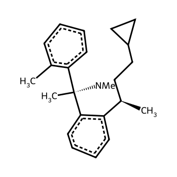 CN[C@](C)(c1ccccc1C)c1ccccc1[C@H](C)CCC1CC1